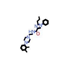 CCCc1nc(C(=O)NCCN2CCN(c3cccc(C)c3C)CC2)cn1-c1ccccc1